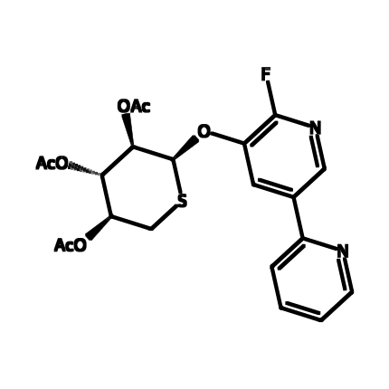 CC(=O)O[C@@H]1[C@@H](OC(C)=O)[C@@H](Oc2cc(-c3ccccn3)cnc2F)SC[C@H]1OC(C)=O